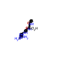 Nc1nc(N)c2nc(CNc3ccc(C(=O)NC(CCCNC(=O)c4ccccc4)C(=O)O)cc3)cnc2n1